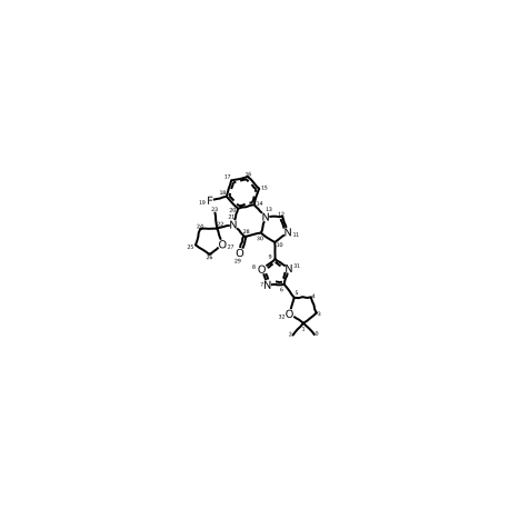 CC1(C)CCC(c2noc(C3N=CN4c5cccc(F)c5N(C5(C)CCCO5)C(=O)C34)n2)O1